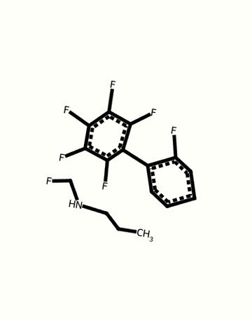 CCCNCF.Fc1ccccc1-c1c(F)c(F)c(F)c(F)c1F